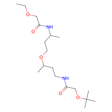 CCOCC(=O)NC(C)CCOC(C)CCNC(=O)COC(C)(C)C